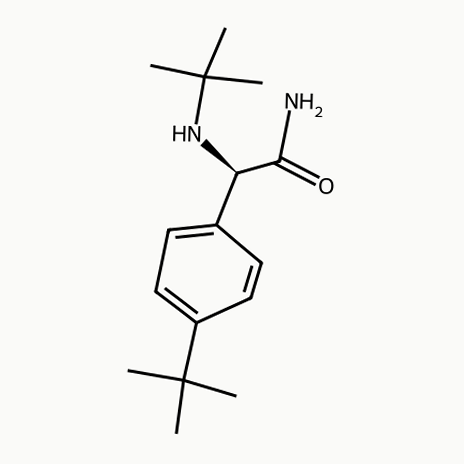 CC(C)(C)N[C@@H](C(N)=O)c1ccc(C(C)(C)C)cc1